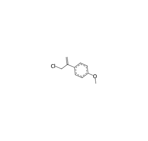 C=C(CCl)c1ccc(OC)cc1